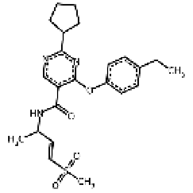 CCc1ccc(Oc2nc(C3CCCC3)ncc2C(=O)NC(C)/C=C/S(C)(=O)=O)cc1